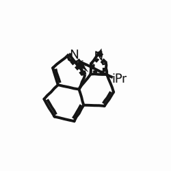 CC(C)c1cncc2c1C13C(=CC=CC1=C2)C=Cc1cnccc13